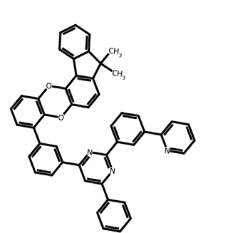 CC1(C)c2ccccc2-c2c1ccc1c2Oc2cccc(-c3cccc(-c4cc(-c5ccccc5)nc(-c5cccc(-c6ccccn6)c5)n4)c3)c2O1